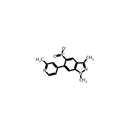 Cc1cc(-c2cc3c(cc2[N+](=O)[O-])c(C)nn3C)ccn1